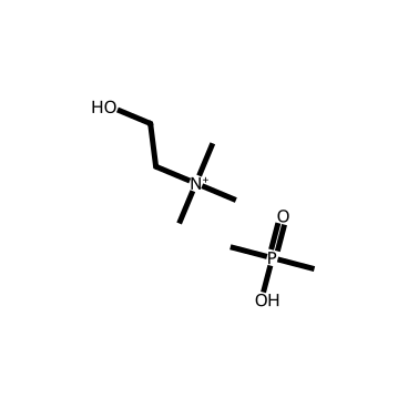 CP(C)(=O)O.C[N+](C)(C)CCO